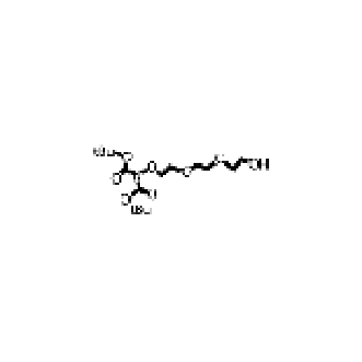 CC(C)(C)OC(=O)N(OCCOCCOCCO)C(=O)OC(C)(C)C